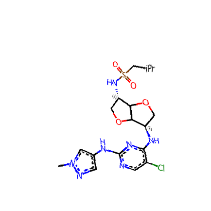 CC(C)CS(=O)(=O)N[C@H]1COC2C1OC[C@H]2Nc1nc(Nc2cnn(C)c2)ncc1Cl